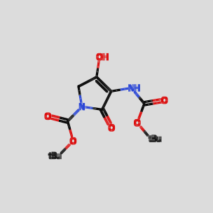 CC(C)(C)OC(=O)NC1=C(O)CN(C(=O)OC(C)(C)C)C1=O